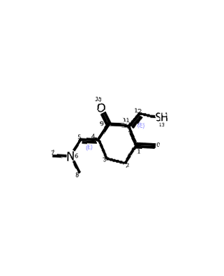 C=C1CC/C(=C\N(C)C)C(=O)/C1=C/S